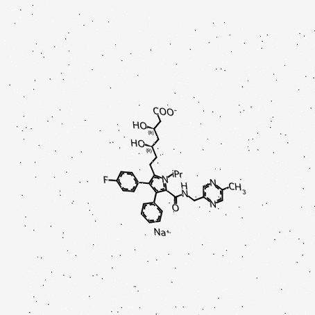 Cc1cnc(CNC(=O)c2c(-c3ccccc3)c(-c3ccc(F)cc3)c(CC[C@@H](O)C[C@@H](O)CC(=O)[O-])n2C(C)C)cn1.[Na+]